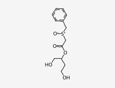 O=C(C[S+]([O-])Cc1ccccc1)OC(CO)CCO